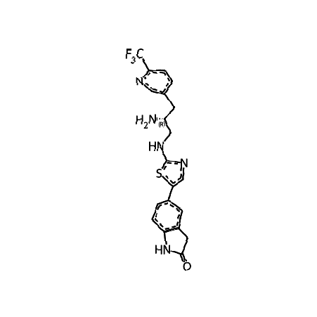 N[C@@H](CNc1ncc(-c2ccc3c(c2)CC(=O)N3)s1)Cc1ccc(C(F)(F)F)nc1